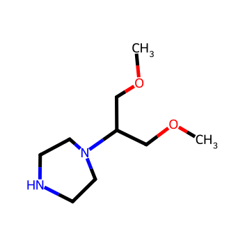 COCC(COC)N1CCNCC1